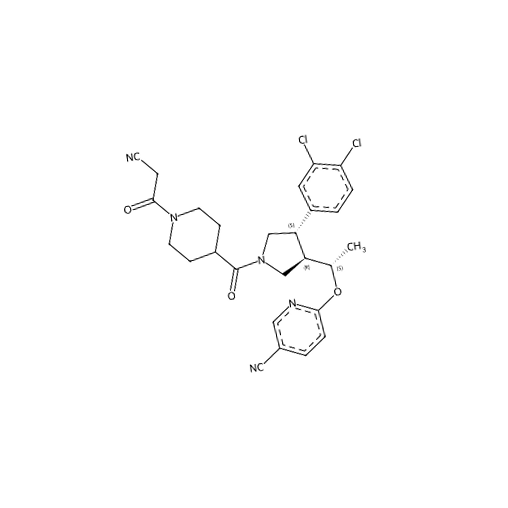 C[C@H](Oc1ccc(C#N)cn1)[C@H]1CN(C(=O)C2CCN(C(=O)CC#N)CC2)C[C@@H]1c1ccc(Cl)c(Cl)c1